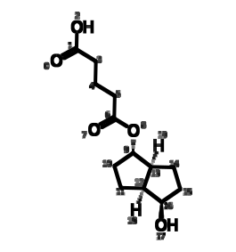 O=C(O)CCCC(=O)O[C@H]1CC[C@H]2[C@@H]1CC[C@H]2O